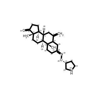 C=C1C[C@@H]2[C@H](CC[C@]3(C)C(=O)CC[C@@H]23)[C@@]2(C)CC/C(=N\O[C@@H]3CCNC3)CC12